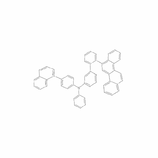 c1ccc(N(c2ccc(-c3cccc4ccccc34)cc2)c2cccc(-c3ccccc3-c3cc4c5ccccc5ccc4c4ccccc34)c2)cc1